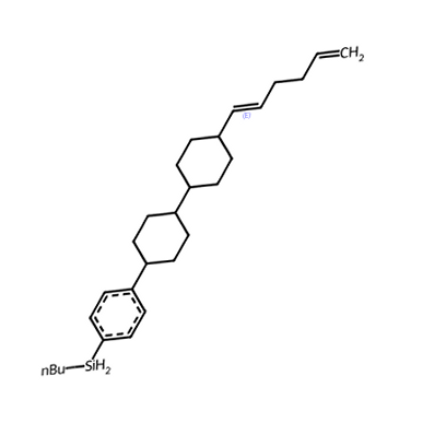 C=CCC/C=C/C1CCC(C2CCC(c3ccc([SiH2]CCCC)cc3)CC2)CC1